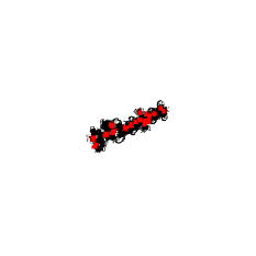 Cc1cc(-c2cc(C)c(-n3c(=O)c4cc5oc6cc7c(cc6oc5cc4c3=O)C3(C(C)C)c4ccccc4C7(C(C)C)c4cc5oc6cc7c(=O)n(C)c(=O)c7cc6oc5cc43)c3ccccc23)c2ccccc2c1C